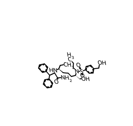 CCCN([C@H](CO)CCC[C@H](CC)N[C@H](C(N)=O)C(c1ccccc1)c1ccccc1)S(=O)(=O)c1ccc(CO)cc1